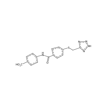 O=C(O)c1ccc(NC(=O)c2ccc(SCc3nn[nH]n3)cc2)cc1